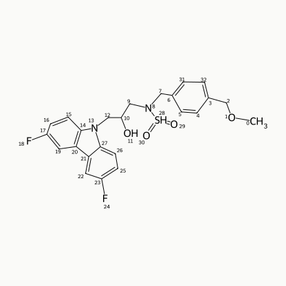 COCc1ccc(CN(CC(O)Cn2c3ccc(F)cc3c3cc(F)ccc32)[SH](=O)=O)cc1